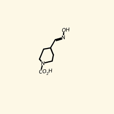 O=C(O)N1CCC(C=NO)CC1